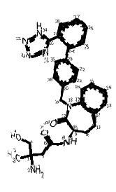 CC(N)(CO)CC(=O)N[C@@H]1CCc2ccccc2N(Cc2ccc(-c3ccccc3-c3nnn[nH]3)cc2)C1=O